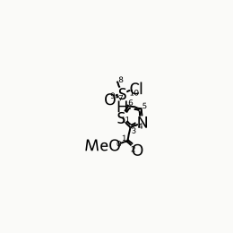 COC(=O)c1ncc([SH](C)(=O)Cl)s1